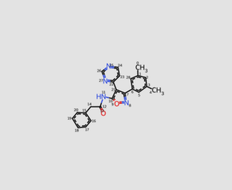 Cc1cc(C)cc(-c2noc(NC(=O)Cc3ccccc3)c2-c2ccncn2)c1